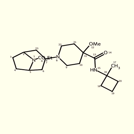 CCOC(=O)N1C2CCC1CC(N1CCC(OC)(C(=O)NC3(C)CCC3)CC1)C2